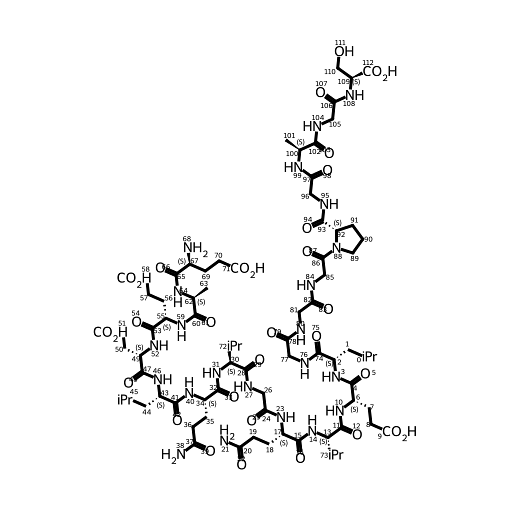 CC(C)C[C@H](NC(=O)[C@H](CCC(=O)O)NC(=O)[C@@H](NC(=O)[C@H](CCC(N)=O)NC(=O)CNC(=O)[C@@H](NC(=O)[C@H](CCC(N)=O)NC(=O)[C@H](CC(C)C)NC(=O)[C@H](CC(=O)O)NC(=O)[C@H](CCC(=O)O)NC(=O)[C@H](C)NC(=O)[C@@H](N)CCC(=O)O)C(C)C)C(C)C)C(=O)NCC(=O)NCC(=O)NCC(=O)N1CCC[C@H]1C(=O)NCC(=O)N[C@@H](C)C(=O)NCC(=O)N[C@@H](CO)C(=O)O